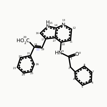 O=C(Cc1ccccc1)Nc1ccnc2[nH]cc(/C=C(\C(=O)O)c3ccccc3)c12